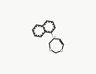 C1=C[C@@H](c2cccc3ccccc23)COCO1